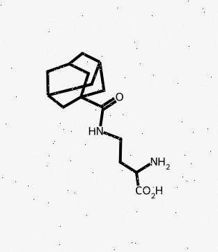 NC(CCNC(=O)C12CC3CC(CC(C3)C1)C2)C(=O)O